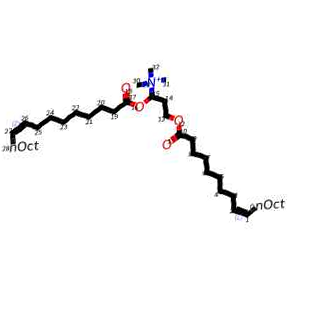 CCCCCCCC/C=C\CCCCCCCC(=O)OCCC(OC(=O)CCCCCCC/C=C\CCCCCCCC)[N+](C)(C)C